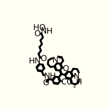 O=C(CCCCCCC(=O)Nc1ccc(CNC(=O)c2ccc(C(=O)O)c(C3=c4cc5c6c(c4Oc4c3cc3c7c4CCCN7CCCC3)CCC[N+]=6CCCC5)c2)cc1)NO